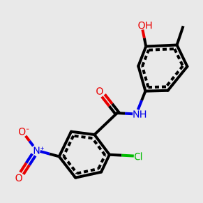 Cc1ccc(NC(=O)c2cc([N+](=O)[O-])ccc2Cl)cc1O